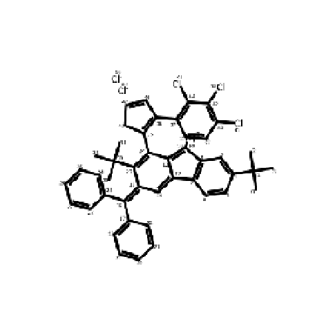 CC(C)(C)c1ccc2c(c1)[C]([Hf+2])=c1c-2cc(=C(c2ccccc2)c2ccccc2)c(C(C)(C)C)c1C1=C(c2ccc(Cl)c(Cl)c2Cl)C=CC1.[Cl-].[Cl-]